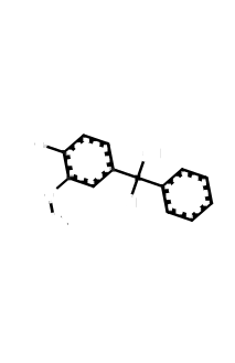 CC(C)(c1ccccc1)c1ccc(O)c(OC#N)c1